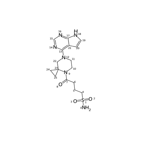 NS(=O)(=O)CCCC(=O)N1CCN(c2ncnc3[nH]ccc23)CC12CC2